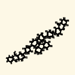 CN1c2ccccc2Sc2ccc(-c3ccc(-c4ccc5c(c4)C4(c6ccccc6-c6ccccc64)c4cc(-c6ccc(-c7ccc8c(c7)N(C)c7ccccc7S8)cc6)ccc4-5)cc3)cc21